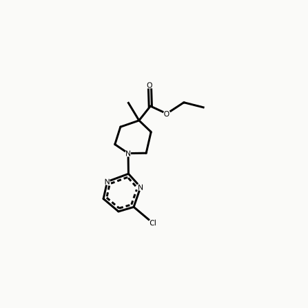 CCOC(=O)C1(C)CCN(c2nccc(Cl)n2)CC1